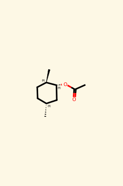 CC(=O)O[C@@H]1C[C@H](C)CC[C@H]1C